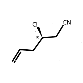 C=CC[C@@H](Cl)CC#N